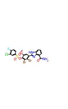 COc1cc(-c2nc3c(C(N)=O)cccc3[nH]2)c(Br)c(Br)c1OS(=O)(=O)c1ccc(F)c(Cl)c1